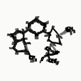 C[C@@H]1C[C@H](N=S(C)(C)=O)CN(c2nccc(-c3cnc4ccc(C(F)(F)F)cn34)n2)C1